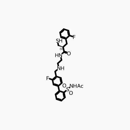 CC(=O)NS(=O)(=O)c1ccccc1-c1ccc(CNCCNC(=O)[C@@H](CS)Cc2ccccc2F)c(F)c1